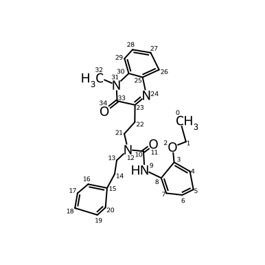 CCOc1ccccc1NC(=O)N(CCc1ccccc1)CCc1nc2ccccc2n(C)c1=O